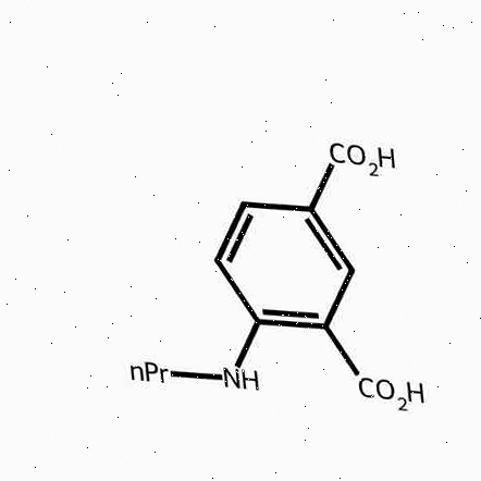 CCCNc1ccc(C(=O)O)cc1C(=O)O